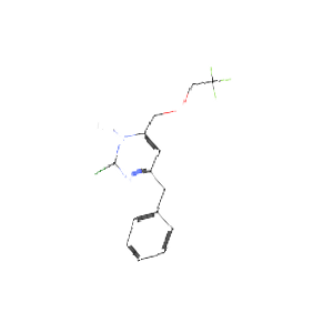 CN1C(COCC(F)(F)F)=CC(Cc2ccccc2)=NC1Cl